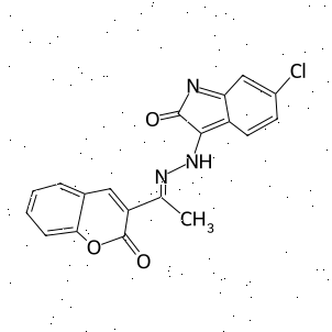 CC(=NNC1=c2ccc(Cl)cc2=NC1=O)c1cc2ccccc2oc1=O